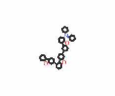 c1ccc(N(c2ccccc2)c2cccc3c2oc2ccc(-c4ccc5c(c4)oc4cccc(-c6ccc7c(c6)oc6ccccc67)c45)cc23)cc1